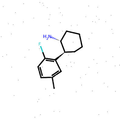 Cc1ccc(F)c([C@@H]2CCCC[C@H]2N)c1